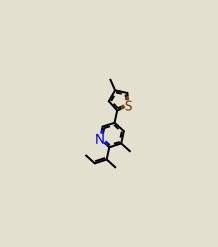 C/C=C(/C)c1ncc(-c2cc(C)cs2)cc1C